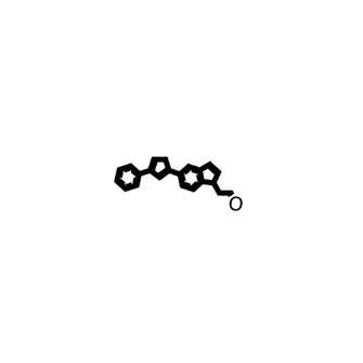 O=CCC1C=Cc2cc(C3=CC(c4ccccc4)=CC3)ccc21